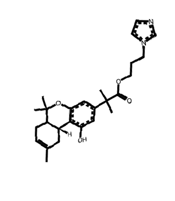 CC1=CCC2[C@@H](C1)c1c(O)cc(C(C)(C)C(=O)OCCCn3ccnc3)cc1OC2(C)C